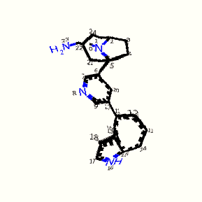 CN1C2CCC1(c1cncc(-c3cccc4[nH]ccc34)c1)CC(N)C2